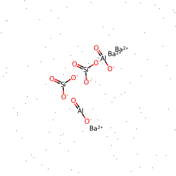 O=[Si]([O-])[O-].O=[Si]([O-])[O-].[Ba+2].[Ba+2].[Ba+2].[O]=[Al][O-].[O]=[Al][O-]